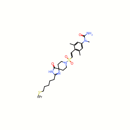 CCCSCCCCCC1=NC2(CCN(S(=O)(=O)C=Cc3c(C)cc(N(C)C(N)=O)cc3C)CC2)C(=O)N1